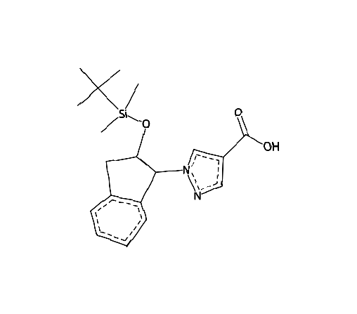 CC(C)(C)[Si](C)(C)OC1Cc2ccccc2C1n1cc(C(=O)O)cn1